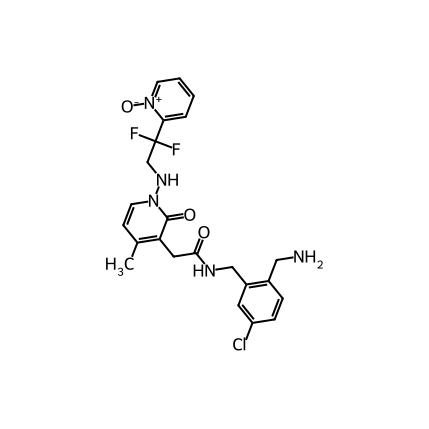 Cc1ccn(NCC(F)(F)c2cccc[n+]2[O-])c(=O)c1CC(=O)NCc1cc(Cl)ccc1CN